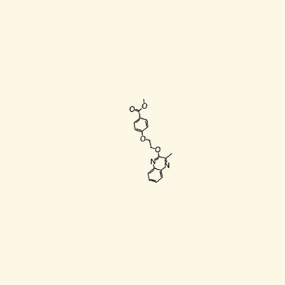 COC(=O)c1ccc(OCCOc2nc3ccccc3nc2C)cc1